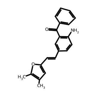 Cc1cc(/C=C/c2ccc(N)c(C(=O)c3ccccc3)c2)oc1C